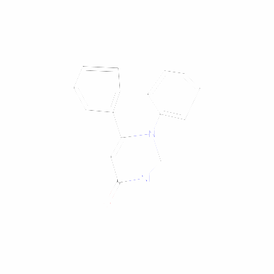 O=C1C=C(c2ccccc2)N(c2ccccc2)CN1